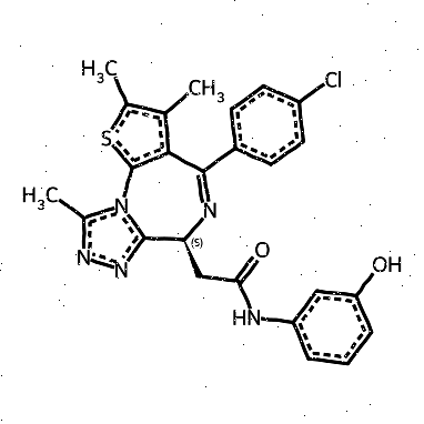 Cc1sc2c(c1C)C(c1ccc(Cl)cc1)=N[C@@H](CC(=O)Nc1cccc(O)c1)c1nnc(C)n1-2